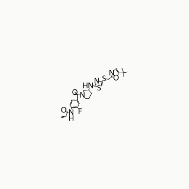 C=CC(=O)Nc1ccc(C(=O)N2CCCC(Nc3nc(SCc4ncc(C(C)(C)C)o4)cs3)C2)cc1F